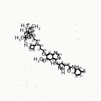 COc1cc2c(Nc3cc(CC(=O)Nc4cccc(F)c4)[nH]n3)ncnc2cc1OCCCN(CCOP(=O)(OC(C)(C)C)OC(C)(C)C)C1CCC1